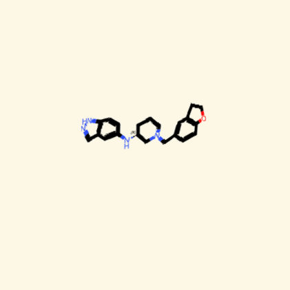 c1cc2c(cc1CN1CCC[C@@H](Nc3ccc4[nH]ncc4c3)C1)CCO2